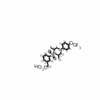 CC1CN(c2ccc(OC(F)(F)F)cc2)CC(C)N1S(=O)(=O)c1cccc(CC(=O)O)c1